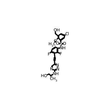 COc1c(CO)cc(Cl)cc1S(=O)(=O)Nc1ccc(F)c(C#Cc2cnc(N[C@H](C)CO)nn2)c1F